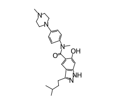 CC(C)CCc1n[nH]c2cc(O)c(C(=O)N(C)c3ccc(N4CCN(C)CC4)cc3)cc12